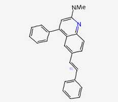 CNc1cc(-c2ccccc2)c2cc(/C=C/c3ccccc3)ccc2n1